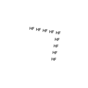 F.F.F.F.F.F.F.F.F